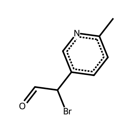 Cc1ccc(C(Br)C=O)cn1